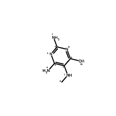 CNc1c(N)nc(N)nc1O